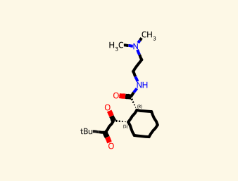 CN(C)CCNC(=O)[C@@H]1CCCC[C@@H]1C(=O)C(=O)C(C)(C)C